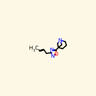 CC=CCc1noc(C23CCCN(C2)C3)n1